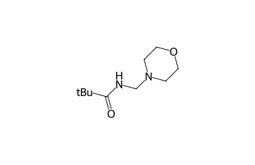 CC(C)(C)C(=O)NCN1CCOCC1